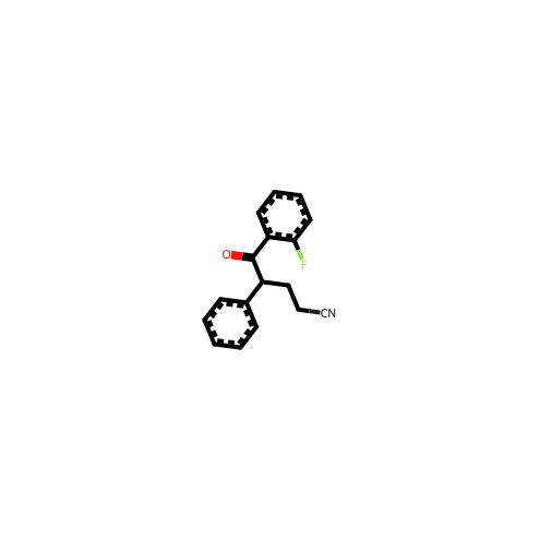 N#CCCC(C(=O)c1ccccc1F)c1ccccc1